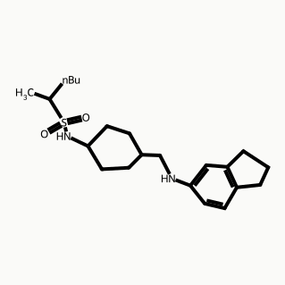 CCCCC(C)S(=O)(=O)NC1CCC(CNc2ccc3c(c2)CCC3)CC1